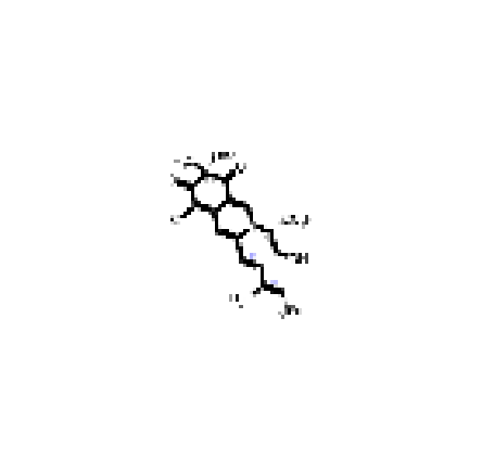 CC[C@H](C)/C=C(C)/C=C/C1=CC2=C(Cl)C(=O)[C@](C)(OC(C)=O)C(=O)C2=CN1[C@@H](CO)C(=O)O